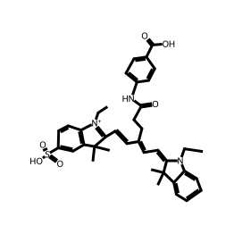 CCN1/C(=C/C=C(/C=C/C2=[N+](CC)c3ccc(S(=O)(=O)O)cc3C2(C)C)CCC(=O)Nc2ccc(C(=O)O)cc2)C(C)(C)c2ccccc21